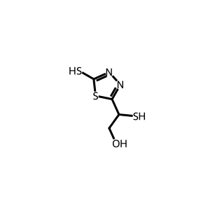 OCC(S)c1nnc(S)s1